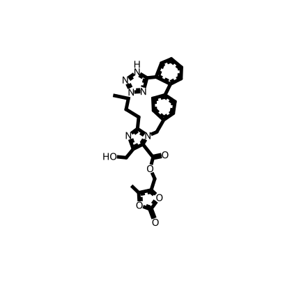 CCCCc1nc(CO)c(C(=O)OCc2oc(=O)oc2C)n1Cc1ccc(-c2ccccc2-c2nnn[nH]2)cc1